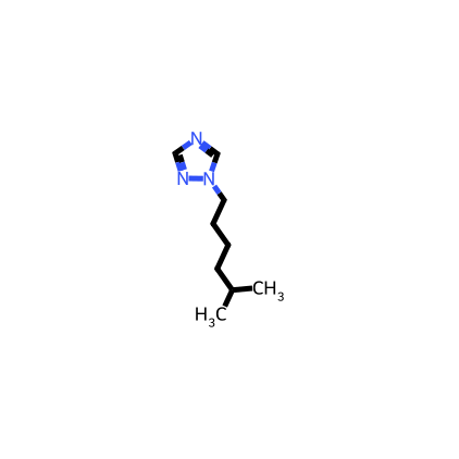 CC(C)CCCCn1cncn1